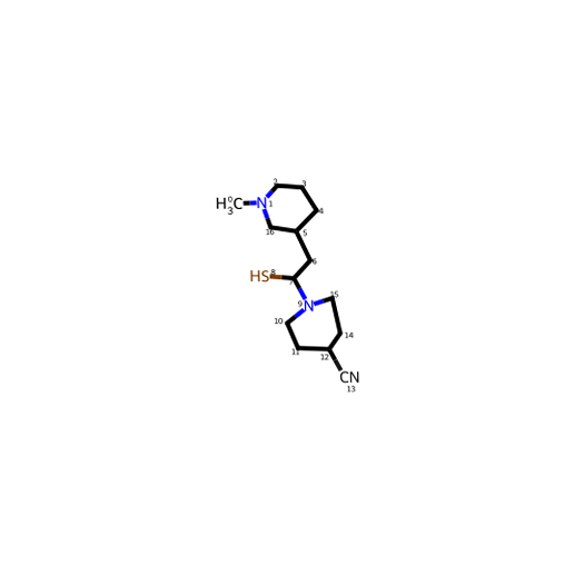 CN1CCCC(CC(S)N2CCC(C#N)CC2)C1